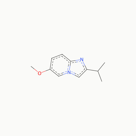 COc1ccc2nc(C(C)C)cn2c1